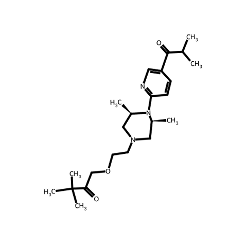 CC(C)C(=O)c1ccc(N2[C@H](C)CN(CCOCC(=O)C(C)(C)C)C[C@@H]2C)nc1